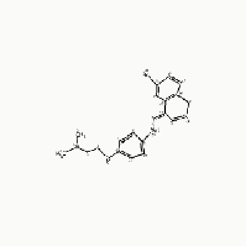 CN(C)CCOc1ccc(NC=C2C=NCc3ccc(Br)cc32)cc1